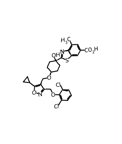 Cc1cc(C(=O)O)cc2sc(C3(O)CCC(OCc4c(COc5c(Cl)cccc5Cl)noc4C4CC4)CC3)nc12